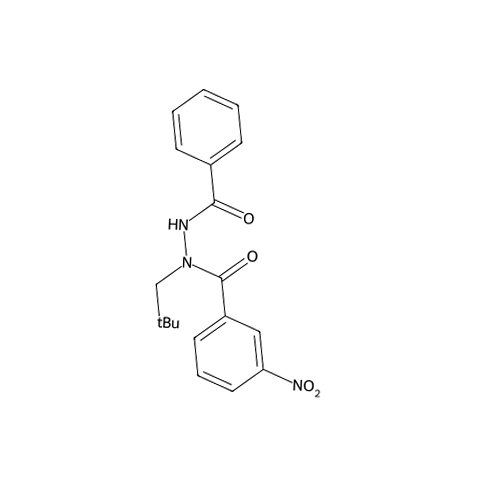 CC(C)(C)CN(NC(=O)c1ccccc1)C(=O)c1cccc([N+](=O)[O-])c1